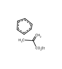 C=C(C)C(=O)OCC.c1ccccc1